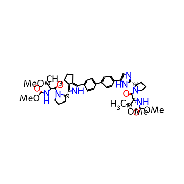 COC(=O)NC(C(=O)N1CCC[C@H]1c1[nH]c(-c2ccc(-c3ccc(-c4cnc([C@@H]5CCCN5C(=O)[C@@H](NC(=O)OC)[C@@H](C)OC)[nH]4)cc3)cc2)c2c1CCC2)[C@@H](C)OC